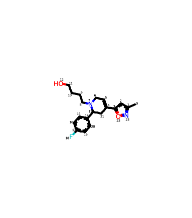 Cc1cc(C2=CCN(CCCCO)C(c3ccc(F)cc3)C2)on1